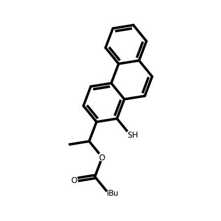 CCC(C)C(=O)OC(C)c1ccc2c(ccc3ccccc32)c1S